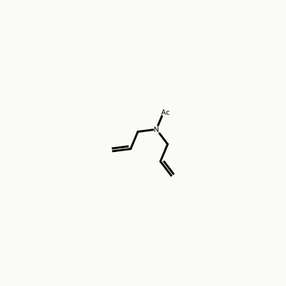 C=CCN(CC=C)C(C)=O